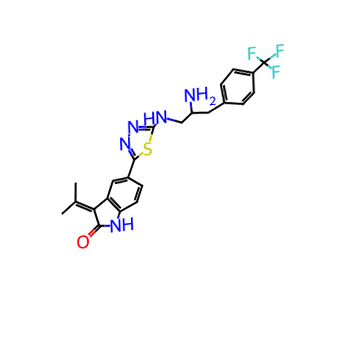 CC(C)=C1C(=O)Nc2ccc(-c3nnc(NCC(N)Cc4ccc(C(F)(F)F)cc4)s3)cc21